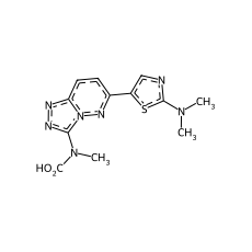 CN(C)c1ncc(-c2ccc3nnc(N(C)C(=O)O)n3n2)s1